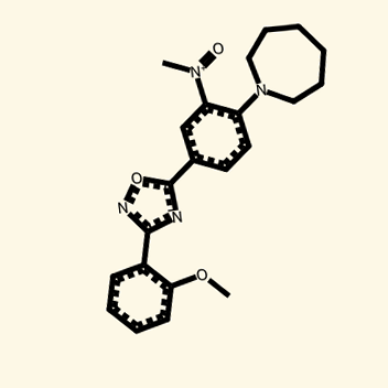 COc1ccccc1-c1noc(-c2ccc(N3CCCCCC3)c([N+](C)=O)c2)n1